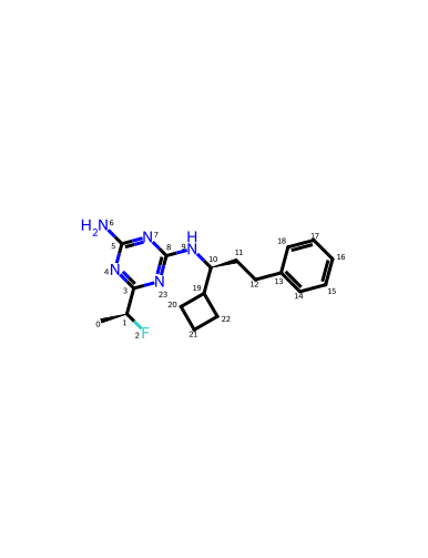 C[C@H](F)c1nc(N)nc(N[C@@H](CCc2ccccc2)C2CCC2)n1